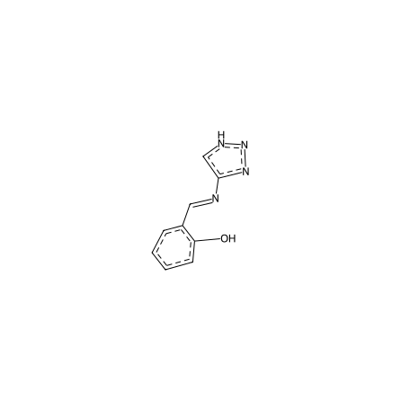 Oc1ccccc1C=Nc1c[nH]nn1